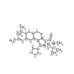 COc1cc2ccn3c(C(=O)N(C)C(C)(C)C)nc(-c4cccs4)c3c2cc1C=C(C)C